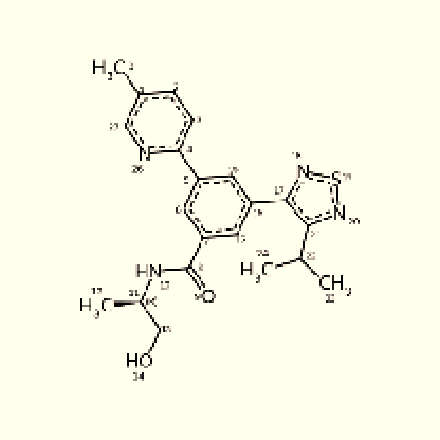 Cc1ccc(-c2cc(C(=O)N[C@H](C)CO)cc(-c3nsnc3C(C)C)c2)nc1